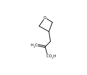 C=C(CC1COC1)C(=O)O